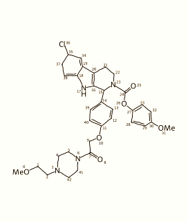 COCCN1CCN(C(=O)COc2ccc(C3c4[nH]c5c(c4CCN3C(=O)Oc3ccc(OC)cc3)=CC(Cl)CC=5)cc2)CC1